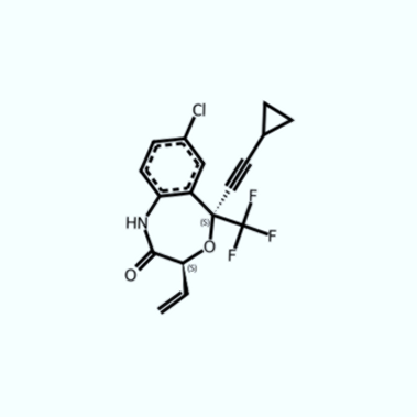 C=C[C@@H]1O[C@](C#CC2CC2)(C(F)(F)F)c2cc(Cl)ccc2NC1=O